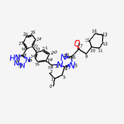 CC(C)Cc1nc(C(=O)CC2CCCCC2)nn1Cc1ccc(-c2ccccc2-c2nnn[nH]2)cc1